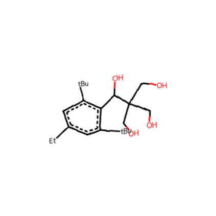 CCc1cc(C(C)(C)C)c(C(O)C(CO)(CO)CO)c(C(C)(C)C)c1